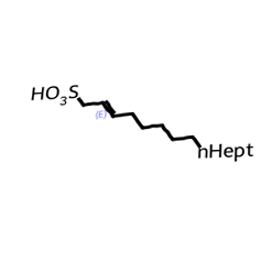 CCCCCCCCCCCC/C=C/CS(=O)(=O)O